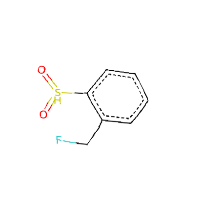 O=[SH](=O)c1ccccc1CF